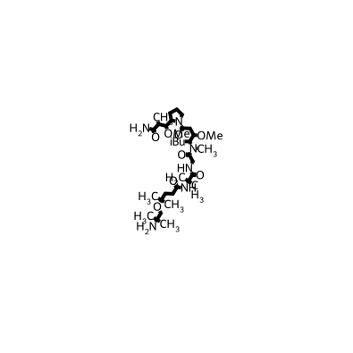 CCC(C)C(C(CC(=O)N1CCCC1C(OC)C(C)C(N)=O)OC)N(C)C(=O)CNC(=O)C(C)(C)NC(=O)CCC(C)(C)OCC(C)(C)N